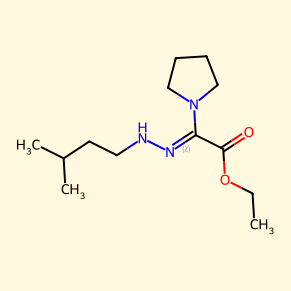 CCOC(=O)/C(=N/NCCC(C)C)N1CCCC1